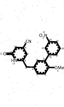 COc1ccc(Cc2cc(C#N)cc(=O)[nH]2)cc1-c1cccc([N+](=O)[O-])c1